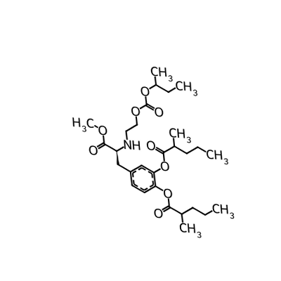 CCCC(C)C(=O)Oc1ccc(C[C@H](NCCOC(=O)OC(C)CC)C(=O)OC)cc1OC(=O)C(C)CCC